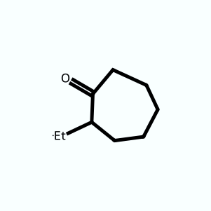 C[CH]C1CCCCCC1=O